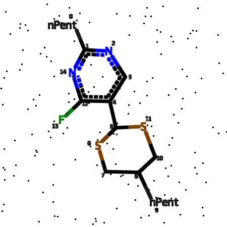 CCCCCc1ncc(C2SCC(CCCCC)CS2)c(F)n1